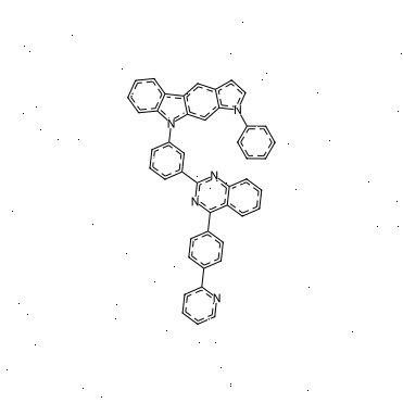 c1ccc(-n2ccc3cc4c5ccccc5n(-c5cccc(-c6nc(-c7ccc(-c8ccccn8)cc7)c7ccccc7n6)c5)c4cc32)cc1